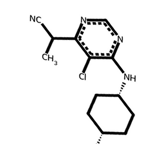 CC(C#N)c1ncnc(N[C@H]2CC[C@@H](C(C)(C)C)CC2)c1Cl